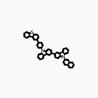 c1ccc2cc(-n3c4ccccc4c4cc(-c5ccc6c(c5)c5ccccc5n6-c5ccc(-c6ccc7sc8ccccc8c7c6)cc5)ccc43)ccc2c1